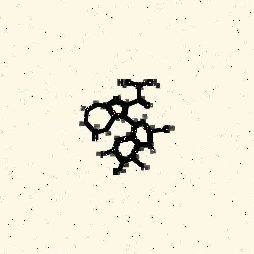 CN(C)C(=O)c1nn2c(c1-c1nc(Cl)nc3c(F)c(Br)c(F)cc13)CNCCC2